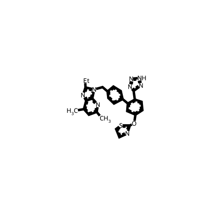 CCc1nc2c(C)cc(C)nc2n1Cc1ccc(-c2cc(Oc3nccs3)ccc2-c2nn[nH]n2)cc1